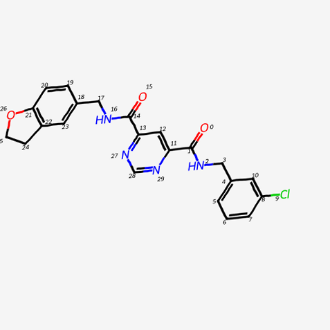 O=C(NCc1cccc(Cl)c1)c1cc(C(=O)NCc2ccc3c(c2)CCO3)ncn1